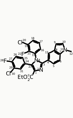 CCOC(=O)c1nc(-c2ccc3c(ccn3C)c2)n(-c2cccc(Cl)c2F)c1-c1ccc(F)c(Cl)c1